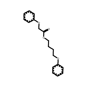 O=C(COc1ccccc1)OCCCCOc1ccccc1